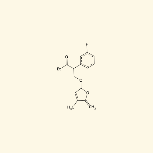 C=C1OC(O/C=C(/C(=O)CC)c2cccc(F)c2)C=C1C